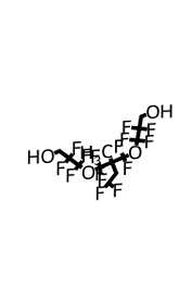 CC(CC(F)(F)F)(C(F)(F)OC(F)(F)C(F)(F)CO)C(F)(F)OC(F)(F)C(F)(F)CO